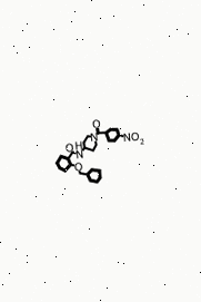 O=C(NC1CCN(C(=O)c2ccc([N+](=O)[O-])cc2)CC1)c1ccccc1OCc1ccccc1